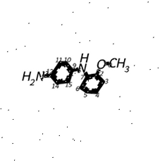 COc1ccccc1Nc1ccc(N)cc1